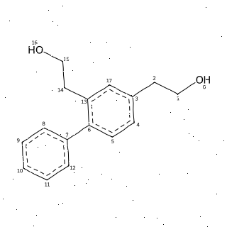 OCCc1ccc(-c2ccccc2)c(CCO)c1